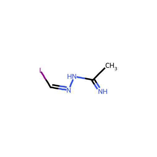 CC(=N)N/N=C\I